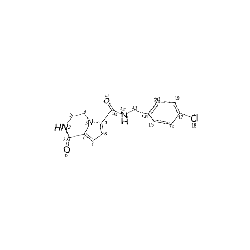 O=C1NCCn2c1ccc2C(=O)NCc1ccc(Cl)cc1